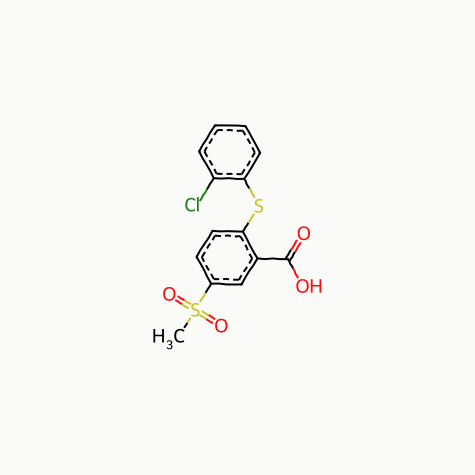 CS(=O)(=O)c1ccc(Sc2ccccc2Cl)c(C(=O)O)c1